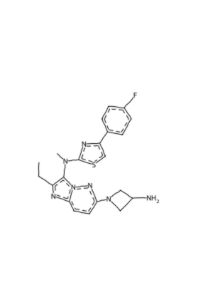 CCc1nc2ccc(N3CC(N)C3)nn2c1N(C)c1nc(-c2ccc(F)cc2)cs1